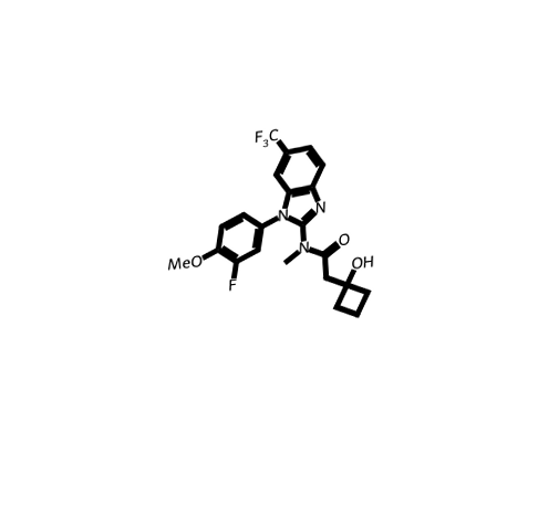 COc1ccc(-n2c(N(C)C(=O)CC3(O)CCC3)nc3ccc(C(F)(F)F)cc32)cc1F